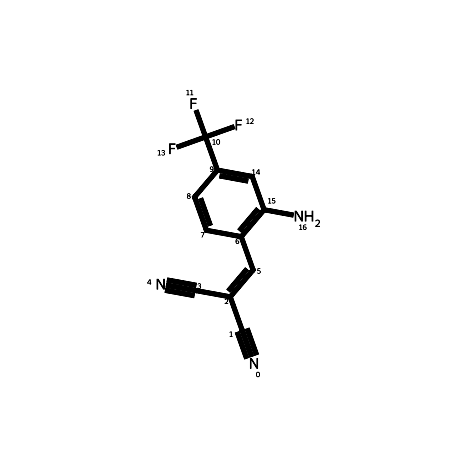 N#CC(C#N)=Cc1ccc(C(F)(F)F)cc1N